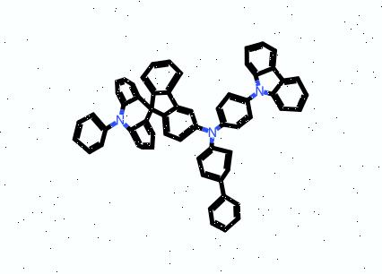 c1ccc(-c2ccc(N(c3ccc(-n4c5ccccc5c5ccccc54)cc3)c3ccc4c(c3)-c3ccccc3C43c4ccccc4N(c4ccccc4)c4ccccc43)cc2)cc1